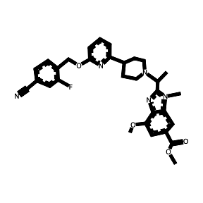 COC(=O)c1cc(OC)c2nc(C(C)N3CCC(c4cccc(OCc5ccc(C#N)cc5F)n4)CC3)n(C)c2c1